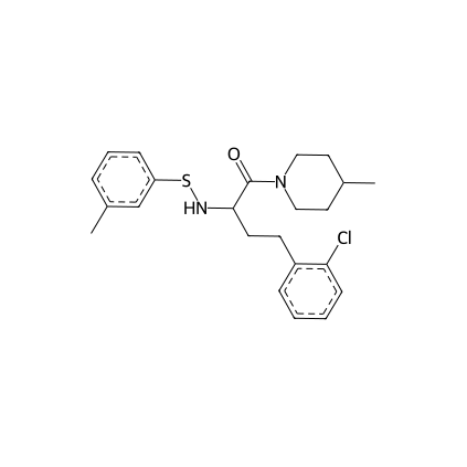 Cc1cccc(SNC(CCc2ccccc2Cl)C(=O)N2CCC(C)CC2)c1